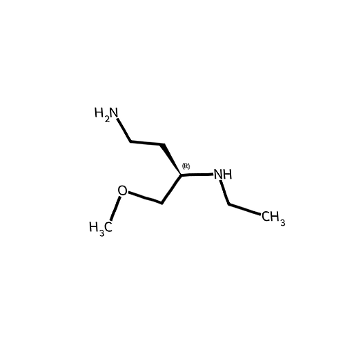 CCN[C@H](CCN)COC